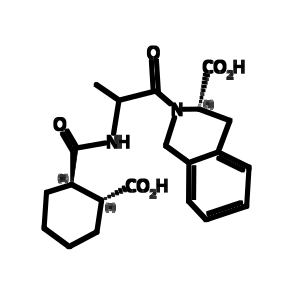 CC(NC(=O)[C@@H]1CCCC[C@H]1C(=O)O)C(=O)N1Cc2ccccc2C[C@H]1C(=O)O